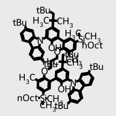 CCCCCCCC[Si](C)(C)c1cc(C)c(OCCCOc2c(C)cc([Si](C)(C)CCCCCCCC)cc2-c2cc(C(C)(C)CC(C)(C)C)cc(-n3c4cc(C(C)(C)C)ccc4c4ccc(C(C)(C)C)cc43)c2O)c(-c2cc(C(C)(C)CC(C)(C)C)cc(-n3c4cc(C(C)(C)C)ccc4c4ccc(C(C)(C)C)cc43)c2O)c1